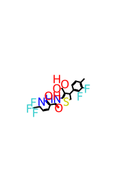 Cc1ccc(C2CSC(NC(=O)c3ccc(C(F)(F)F)nc3O)=C2C(=O)O)c(F)c1F